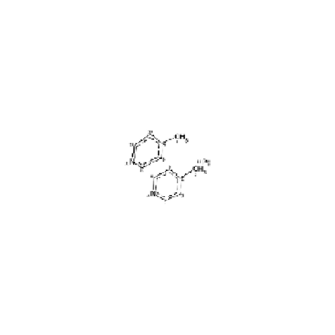 Cc1ccncc1.Cc1ccncc1.[Pt]